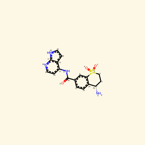 N[C@H]1CCS(=O)(=O)c2cc(C(=O)Nc3ccnc4[nH]ccc34)ccc21